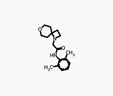 Cc1cccc(C)c1NC(=O)CN1CCC12CCOCC2